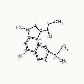 CC[C@@H](Cl)[C@@H]1CN(C)c2cc(O)c3ccc(N(C)C)cc3c21